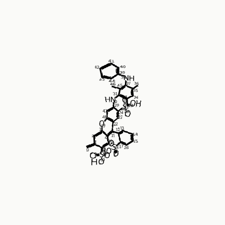 C=c1cc2c(cc1S(=O)(=O)O)=C(c1ccccc1S(=O)(=O)O)c1cc(S(=O)(=O)O)c(Nc3c(C)cc(C)c(Nc4ccccc4)c3C)cc1O2